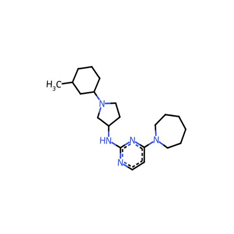 CC1CCCC(N2CCC(Nc3nccc(N4CCCCCC4)n3)C2)C1